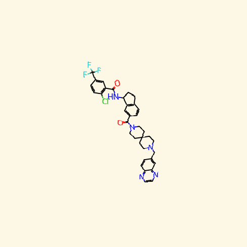 O=C(NC1CCc2ccc(C(=O)N3CCC4(CCN(Cc5ccc6nccnc6c5)CC4)CC3)cc21)c1cc(C(F)(F)F)ccc1Cl